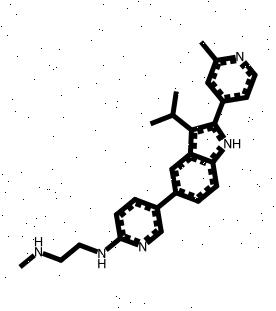 CNCCNc1ccc(-c2ccc3[nH]c(-c4ccnc(C)c4)c(C(C)C)c3c2)cn1